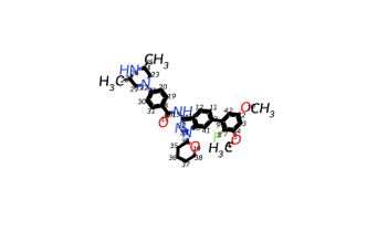 COc1cc(OC)c(F)c(-c2ccc3c(NC(=O)c4ccc(N5C[C@@H](C)N[C@@H](C)C5)cc4)nn(C4CCCCO4)c3c2)c1